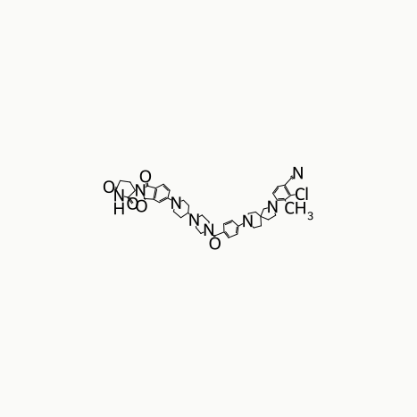 Cc1c(N2CCC3(CCN(c4ccc(C(=O)N5CCN(C6CCN(c7ccc8c(c7)C(=O)N(C7CCC(=O)NC7=O)C8=O)CC6)CC5)cc4)CC3)C2)ccc(C#N)c1Cl